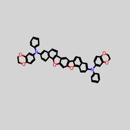 c1ccc(N(c2ccc3c(c2)OCCO3)c2ccc3c(ccc4c5cc6c(cc5oc34)oc3c4ccc(N(c5ccccc5)c5ccc7c(c5)OCCO7)cc4ccc63)c2)cc1